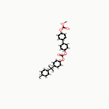 COC(=O)Oc1ccc(-c2ccc(OC(=O)Oc3ccc(C(C)(C)c4ccc(C)cc4)cc3)cc2)cc1